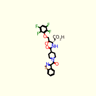 O=C(O)C[C@H](NC(=O)C1CCN(C(=O)c2nsc3ccccc23)CC1)C(=O)COc1c(F)c(F)cc(F)c1F